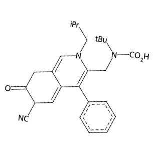 CC(C)CN1C=C2CC(=O)C(C#N)C=C2C(c2ccccc2)=C1CN(C(=O)O)C(C)(C)C